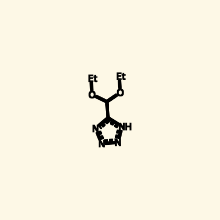 CCOC(OCC)c1nnn[nH]1